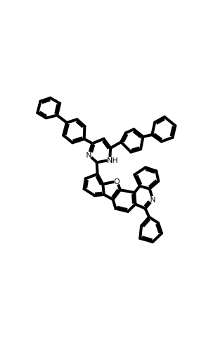 C1=C(c2ccc(-c3ccccc3)cc2)NC(c2cccc3c2oc2c3ccc3c(-c4ccccc4)nc4ccccc4c32)N=C1c1ccc(-c2ccccc2)cc1